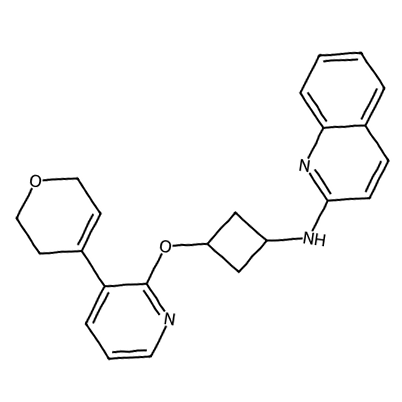 C1=C(c2cccnc2OC2CC(Nc3ccc4ccccc4n3)C2)CCOC1